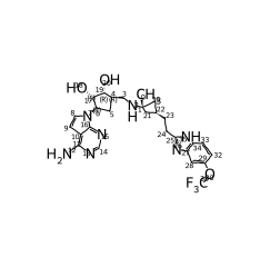 C[C@]1(NC[C@H]2C[C@@H](n3ccc4c(N)ncnc43)[C@H](O)[C@@H]2O)C[C@H](CCc2nc3cc(OC(F)(F)F)ccc3[nH]2)C1